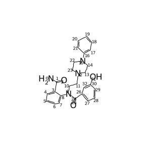 NC(=O)c1ccccc1N(CCN1CCN(c2ccccc2)CC1)C(=O)c1cccc(O)c1